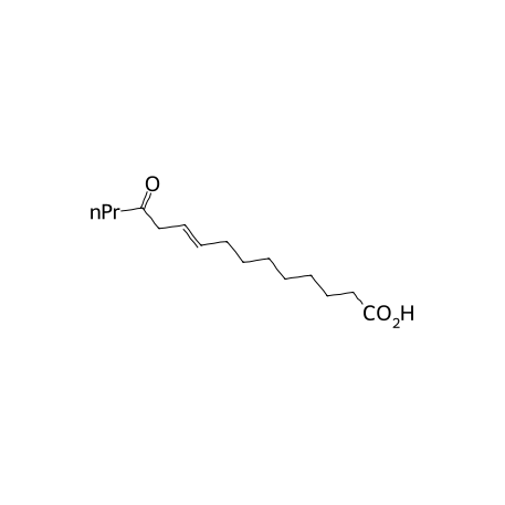 CCCC(=O)CC=CCCCCCCCC(=O)O